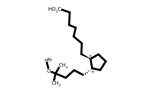 CCCOC(C)(C)CCC[C@H]1CCC[C@@H]1CCCCCCC(=O)O